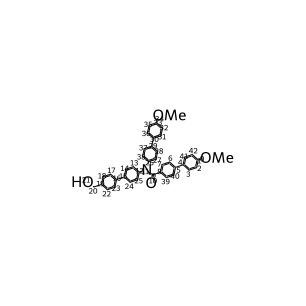 COc1ccc(-c2ccc(C(=O)N(c3ccc(-c4ccc(CO)cc4)cc3)c3ccc(-c4ccc(OC)cc4)cc3)cc2)cc1